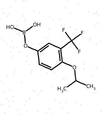 CC(C)Oc1ccc(OB(O)O)cc1C(F)(F)F